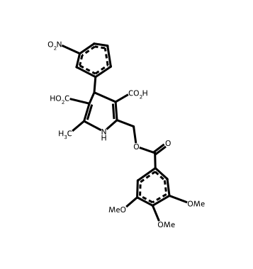 COc1cc(C(=O)OCC2=C(C(=O)O)C(c3cccc([N+](=O)[O-])c3)C(C(=O)O)=C(C)N2)cc(OC)c1OC